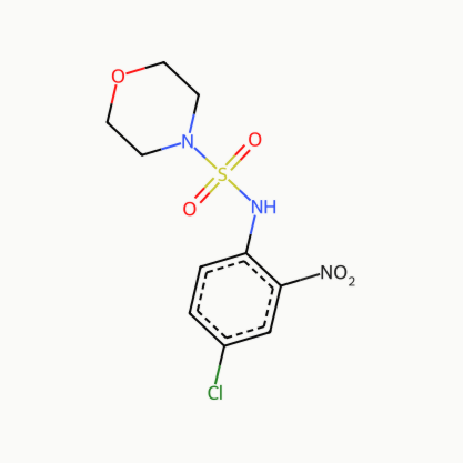 O=[N+]([O-])c1cc(Cl)ccc1NS(=O)(=O)N1CCOCC1